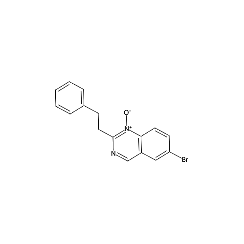 [O-][n+]1c(CCc2ccccc2)ncc2cc(Br)ccc21